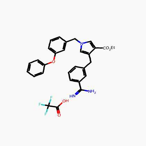 CCOC(=O)c1cn(Cc2cccc(Oc3ccccc3)c2)cc1Cc1cccc(C(=N)N)c1.O=C(O)C(F)(F)F